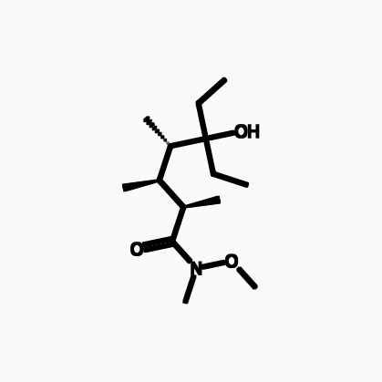 CCC(O)(CC)[C@@H](C)[C@H](C)[C@@H](C)C(=O)N(C)OC